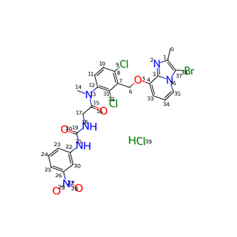 Cc1nc2c(OCc3c(Cl)ccc(N(C)C(=O)CNC(=O)Nc4cccc([N+](=O)[O-])c4)c3Cl)cccn2c1Br.Cl